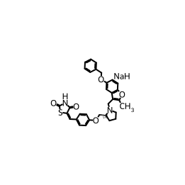 Cc1oc2ccc(OCc3ccccc3)cc2c1CN1CCC[C@H]1COc1ccc(C=C2SC(=O)NC2=O)cc1.[NaH]